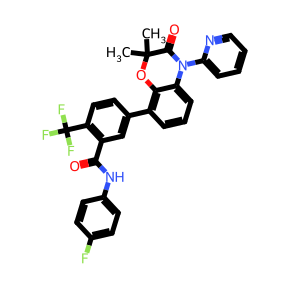 CC1(C)Oc2c(-c3ccc(C(F)(F)F)c(C(=O)Nc4ccc(F)cc4)c3)cccc2N(c2ccccn2)C1=O